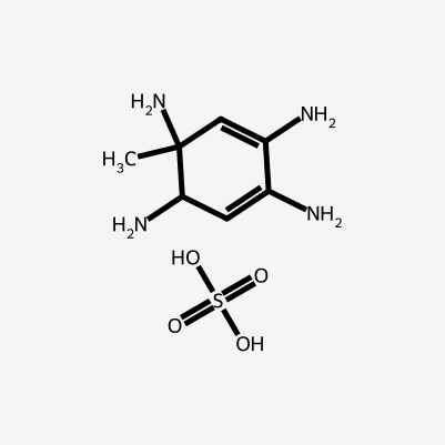 CC1(N)C=C(N)C(N)=CC1N.O=S(=O)(O)O